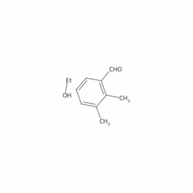 CCO.Cc1cccc(C=O)c1C